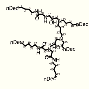 CCCCCCCCCCCCCCNC(=O)CNCC(O)CN(CCCCCCCCCCCCCC)CCCCN(CCCCCCCCCCCC)CC(O)CN(CC(=O)NCCCCCCCCCCCCCC)CC(=O)NCCCCCCCCCCCCCC